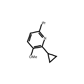 COc1ccc(C(C)C)nc1C1CC1